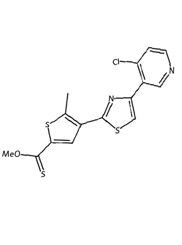 COC(=S)c1cc(-c2nc(-c3cnccc3Cl)cs2)c(C)s1